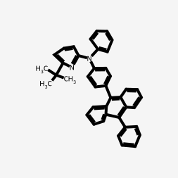 CC(C)(C)c1cccc(N(c2ccccc2)c2ccc(-c3c4ccccc4c(-c4ccccc4)c4ccccc34)cc2)n1